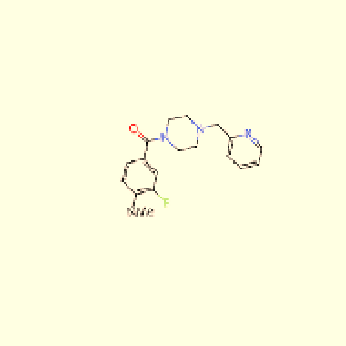 CNc1ccc(C(=O)N2CCN(Cc3ccccn3)CC2)cc1F